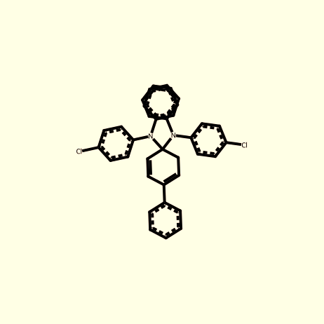 Clc1ccc(N(c2ccccc2)C2(N(c3ccccc3)c3ccc(Cl)cc3)C=CC(c3ccccc3)=CC2)cc1